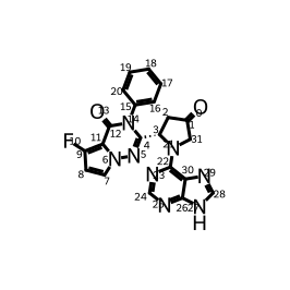 O=C1C[C@@H](c2nn3ccc(F)c3c(=O)n2-c2ccccc2)N(c2ncnc3[nH]cnc23)C1